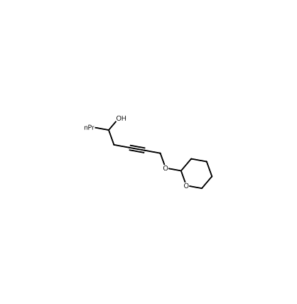 CCCC(O)CC#CCOC1CCCCO1